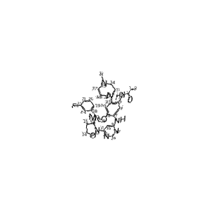 C=CC(=O)Nc1cc(Nc2cc(N3OCCC3Cc3cccc(F)c3)ncn2)c(OC)cc1N1CCN(C)CC1